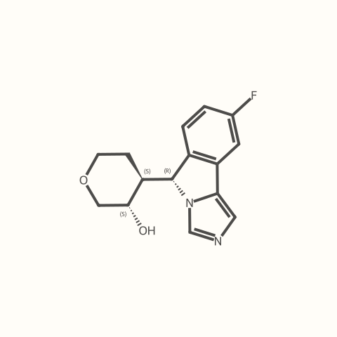 O[C@@H]1COCC[C@H]1[C@@H]1c2ccc(F)cc2-c2cncn21